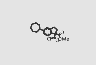 COC(=O)C1(C(=O)Cl)CCc2cc(C3CCCCCC3)ccc21